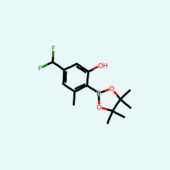 Cc1cc(C(F)F)cc(O)c1B1OC(C)(C)C(C)(C)O1